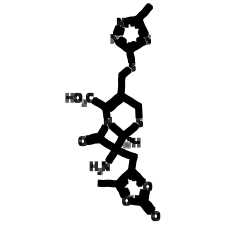 Cc1nnc(SCC2=C(C(=O)O)N3C(=O)C(N)(Cc4oc(=O)oc4C)[C@@H]3SC2)s1